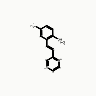 Cc1ccc(O)c(/C=C/c2cnccn2)c1.Cl